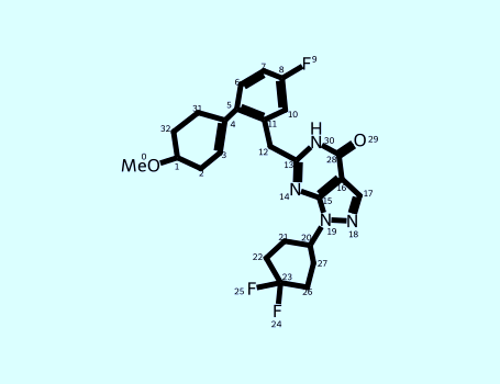 COC1CC=C(c2ccc(F)cc2Cc2nc3c(cnn3C3CCC(F)(F)CC3)c(=O)[nH]2)CC1